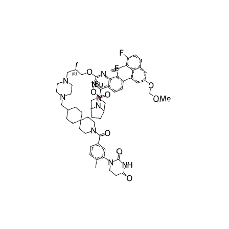 C#Cc1c(F)ccc2cc(OCOC)cc(-c3ccc4c(N5CC6CCC(C5)N6C(=O)OC(C)(C)C)nc(OC[C@H](C)CN5CCN(CC6CCC7(CC6)CCN(C(=O)c6ccc(C)c(N8CCC(=O)NC8=O)c6)CC7)CC5)nc4c3F)c12